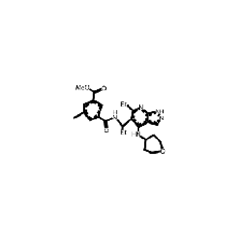 CCc1nc2[nH]ncc2c(NC2CCOCC2)c1C(CC)NC(=O)c1cc(C)cc(C(=O)OC)c1